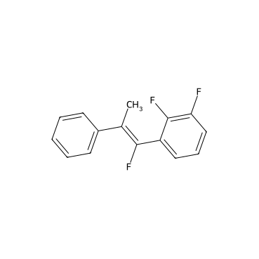 CC(=C(F)c1cccc(F)c1F)c1ccccc1